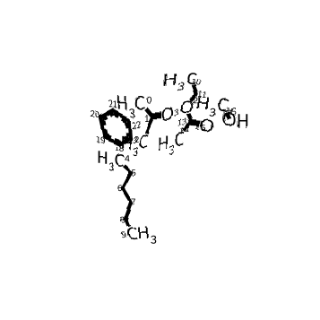 CC(C)=O.CCCCCC.CCOC(C)=O.CO.c1ccccc1